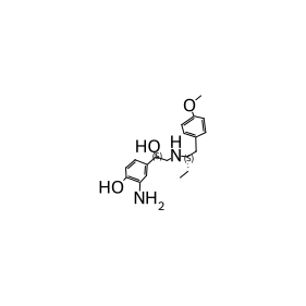 CC[C@@H](Cc1ccc(OC)cc1)NC[C@@H](O)c1ccc(O)c(N)c1